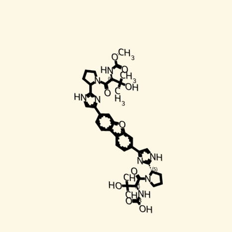 COC(=O)N[C@H](C(=O)N1CCCC1c1nc(-c2ccc3c(c2)oc2cc(-c4c[nH]c([C@@H]5CCCN5C(=O)[C@@H](NC(=O)O)C(C)(C)O)n4)ccc23)c[nH]1)C(C)(C)O